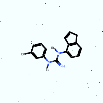 CCc1cccc(N(CC)C(=N)N(CC)c2cccc3c2C=CC3)c1